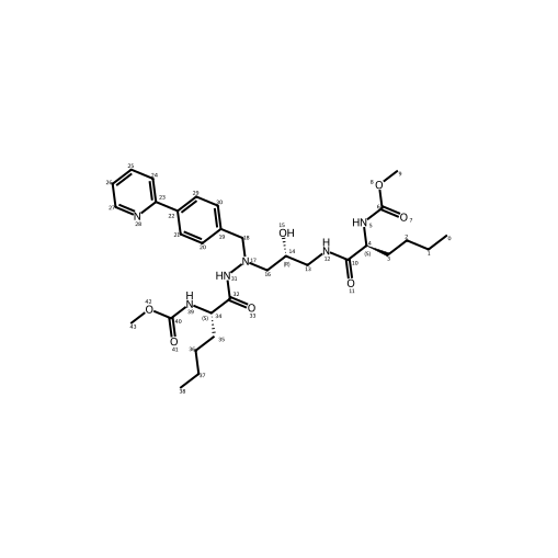 CCCC[C@H](NC(=O)OC)C(=O)NC[C@@H](O)CN(Cc1ccc(-c2ccccn2)cc1)NC(=O)[C@H](CCCC)NC(=O)OC